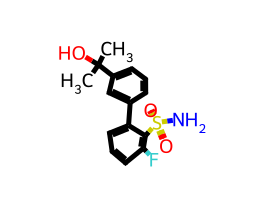 CC(C)(O)c1cccc(-c2cccc(F)c2S(N)(=O)=O)c1